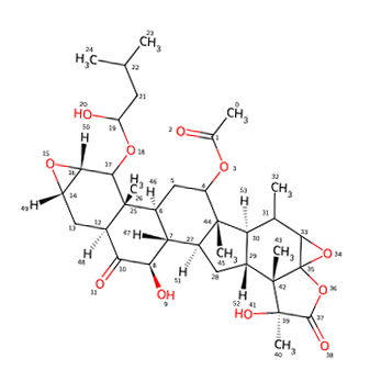 CC(=O)OC1C[C@H]2[C@@H]([C@@H](O)C(=O)[C@H]3C[C@@H]4O[C@@H]4C(OC(O)CC(C)C)[C@@]32C)[C@@H]2C[C@@H]3[C@H](C(C)C4OC45OC(=O)[C@@](C)(O)[C@]35C)[C@@]12C